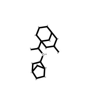 CC1CC2CCCC(C(C)OC3CC4CCC3C4)(C1)C2